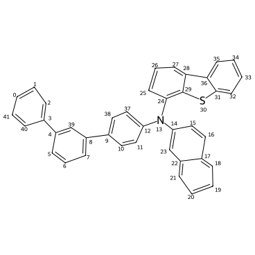 c1ccc(-c2cccc(-c3ccc(N(c4ccc5ccccc5c4)c4cccc5c4sc4ccccc45)cc3)c2)cc1